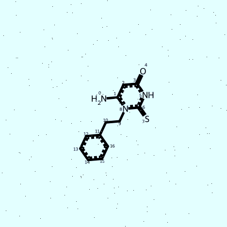 Nc1cc(=O)[nH]c(=S)n1CCc1ccccc1